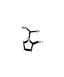 CSC(C(C)C)N1CC=CC1=O